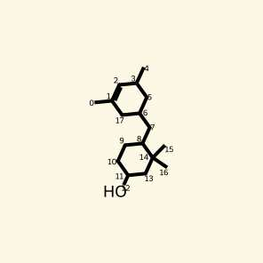 CC1=CC(C)CC(CC2CCC(O)CC2(C)C)C1